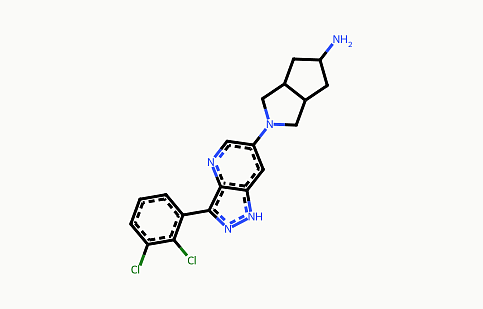 NC1CC2CN(c3cnc4c(-c5cccc(Cl)c5Cl)n[nH]c4c3)CC2C1